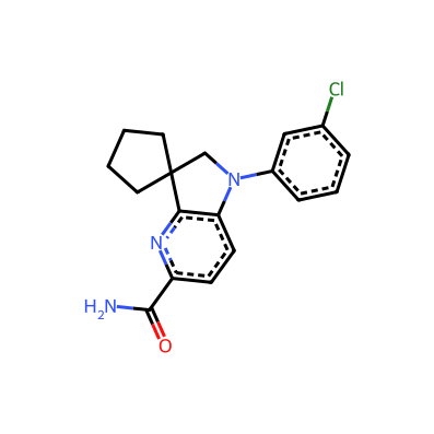 NC(=O)c1ccc2c(n1)C1(CCCC1)CN2c1cccc(Cl)c1